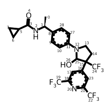 C[C@H](NC(=O)C1CC1)c1ccc(N2CCC(c3cc(C(F)(F)F)nc(C(F)(F)F)c3)(C(F)(F)F)C2O)cc1